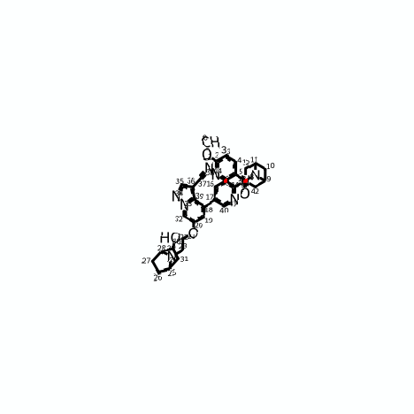 COc1ccc(C(=O)N2C3CC2CN(c2ccc(-c4cc(OCCN5C6CCC5C(O)C6)cn5ncc(C#N)c45)cn2)C3)cn1